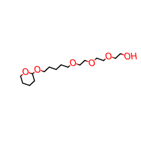 OCCOCCOCCOCCCCCOC1CCCCO1